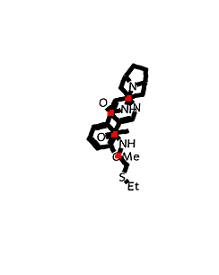 CCSCCNC(=O)c1ccc(N2C3CCC2CC(NC(=O)c2cccc(OC)c2C)C3)nc1